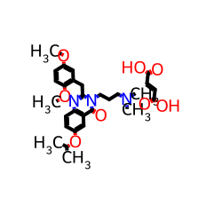 COc1ccc(OC)c(Cc2nc3ccc(OC(C)C)cc3c(=O)n2CCCN(C)C)c1.O=C(O)C=CC(=O)O